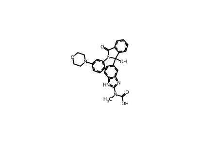 CN(C(=O)O)c1nc2cc(C3(O)c4ccccc4C(=O)N3c3cccc(N4CCOCC4)c3)ccc2[nH]1